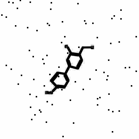 COc1ccc(-c2ccc(CCl)c(Cl)c2)cc1